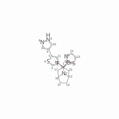 O=C(c1csc(-c2cn[nH]c2)c1)N1C2CCC1CC(F)(c1nccs1)C2